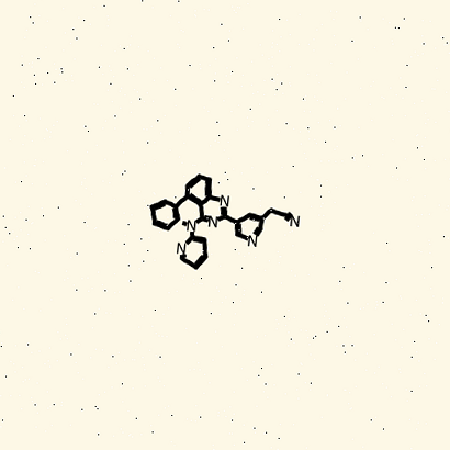 CN(c1ccccn1)c1nc(-c2cncc(CC#N)c2)nc2cccc(-c3ccccc3)c12